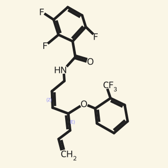 C=C/C=C(\C=C/CNC(=O)c1c(F)ccc(F)c1F)Oc1ccccc1C(F)(F)F